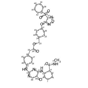 CNC(=O)c1ccccc1Nc1nc(Nc2ccc(CC(=O)OCc3ccc(Oc4nonc4S(=O)(=O)c4ccccc4)cc3)cc2)ncc1Cl